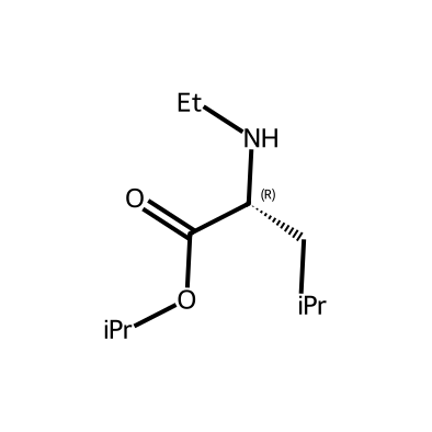 CCN[C@H](CC(C)C)C(=O)OC(C)C